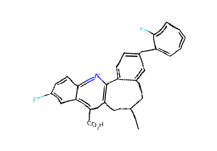 CC1Cc2cc(-c3ccccc3F)ccc2-c2nc3ccc(F)cc3c(C(=O)O)c2C1